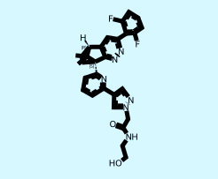 CC1(C)[C@H]2CC[C@]1(c1cccc(-c3cnn(CC(=O)NCCO)c3)n1)c1nnc(-c3c(F)cccc3F)cc12